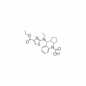 CCOC(=O)c1csc(N(CC)C2c3ccccc3N(C(=O)O)C3CCCC23)n1